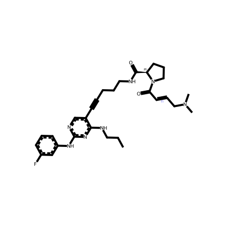 CCCNc1nc(Nc2cccc(F)c2)ncc1C#CCCCNC(=O)[C@H]1CCCN1C(=O)/C=C/CN(C)C